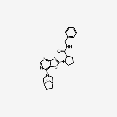 O=C(NCc1ccccc1)[C@H]1CCCN1c1nc2ncnc(N3CC4CCC(C3)O4)c2s1